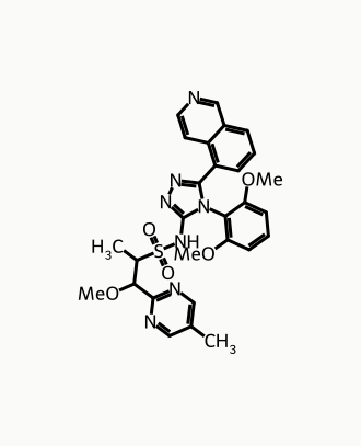 COc1cccc(OC)c1-n1c(NS(=O)(=O)C(C)C(OC)c2ncc(C)cn2)nnc1-c1cccc2cnccc12